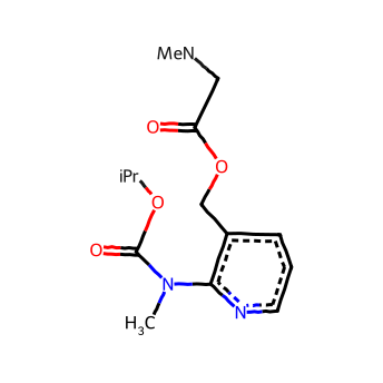 CNCC(=O)OCc1cccnc1N(C)C(=O)OC(C)C